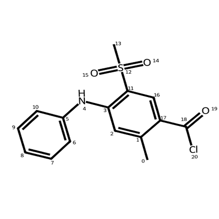 Cc1cc(Nc2ccccc2)c(S(C)(=O)=O)cc1C(=O)Cl